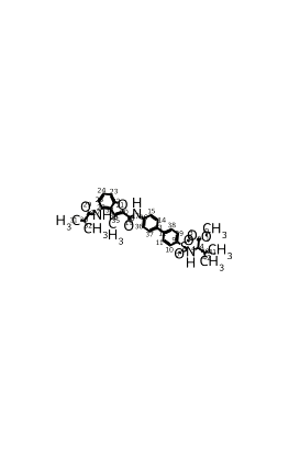 COC(=O)C(NS(=O)(=O)c1ccc(-c2ccc(NC(=O)c3oc4cccc(NC(=O)C(C)C)c4c3C)cc2)cc1)C(C)C